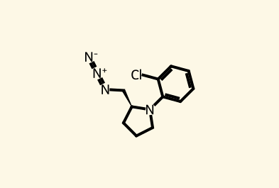 [N-]=[N+]=NC[C@@H]1CCCN1c1ccccc1Cl